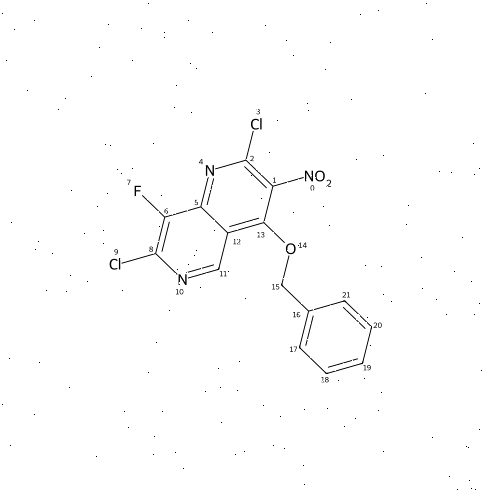 O=[N+]([O-])c1c(Cl)nc2c(F)c(Cl)ncc2c1OCc1ccccc1